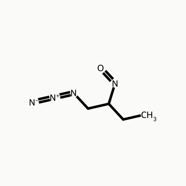 CCC(CN=[N+]=[N-])N=O